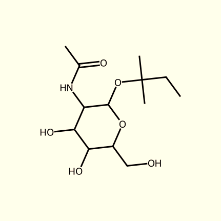 CCC(C)(C)OC1OC(CO)C(O)C(O)C1NC(C)=O